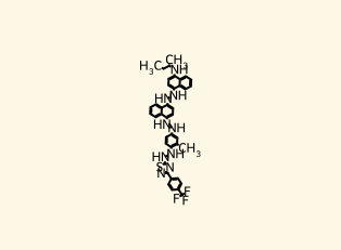 CCC(C)Nc1ccc(NNc2ccc(NNc3ccc(NNc4nc(-c5ccc(C(F)(F)F)cc5)ns4)c(C)c3)c3ccccc23)c2ccccc12